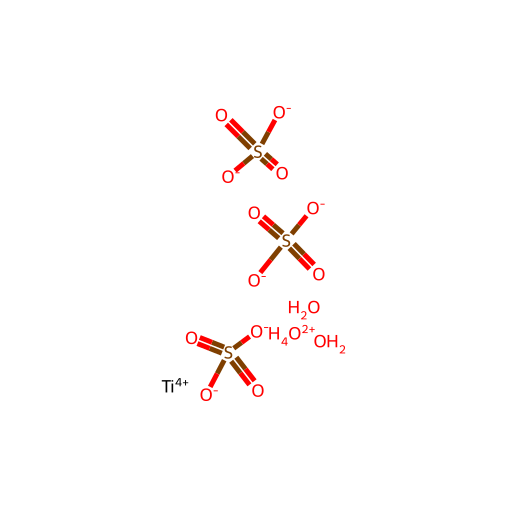 O.O.O=S(=O)([O-])[O-].O=S(=O)([O-])[O-].O=S(=O)([O-])[O-].[OH4+2].[Ti+4]